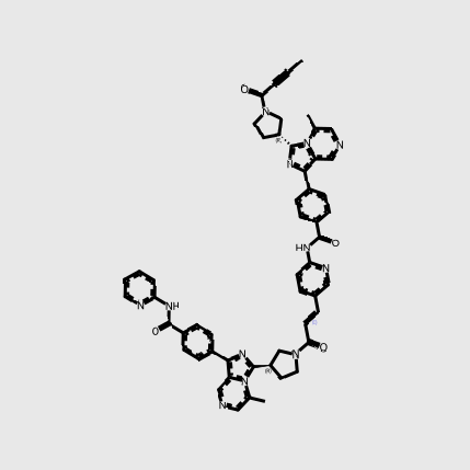 CC#CC(=O)N1CC[C@@H](c2nc(-c3ccc(C(=O)Nc4ccc(/C=C/C(=O)N5CC[C@@H](c6nc(-c7ccc(C(=O)Nc8ccccn8)cc7)c7cncc(C)n67)C5)cn4)cc3)c3cncc(C)n23)C1